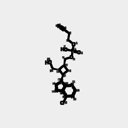 N#CCCOP(=O)(O)OC[C@H]1C[C@@H](n2cnc3c(Cl)ncnc32)[C@@H]1CO